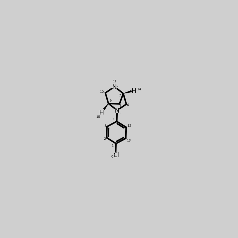 Clc1ccc(N2C[C@@H]3C[C@H]2C[N]3)cc1